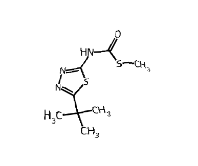 CSC(=O)Nc1nnc(C(C)(C)C)s1